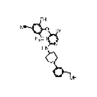 Cc1cc(C#N)cc(C)c1Oc1nc(NC2CCN(c3cccc(CO)c3)CC2)ncc1Br